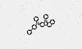 C1=CC2c3ccc4ccccc4c3N(c3ccccc3)C2C=C1N(c1ccccc1)c1ccc(-c2ccccc2)cc1